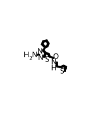 Nc1nc(-c2ccccc2)c2cc(C(=O)NCCc3cccs3)sc2n1